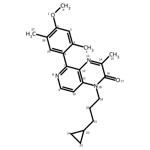 COc1cc(C)c(-c2nccc3c2nc(C)c(=O)n3CCCC2CC2)cc1C